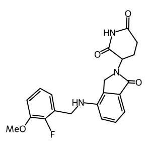 COc1cccc(CNc2cccc3c2CN(C2CCC(=O)NC2=O)C3=O)c1F